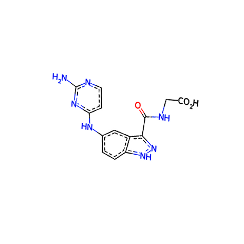 Nc1nccc(Nc2ccc3[nH]nc(C(=O)NCC(=O)O)c3c2)n1